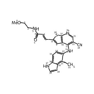 COCCNC(=O)/C=C/c1cc2c(Nc3ccc4[nH]ccc4c3C)c(C#N)cnc2s1